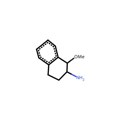 COC1c2ccccc2CCC1N